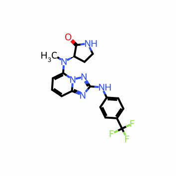 CN(c1cccc2nc(Nc3ccc(C(F)(F)F)cc3)nn12)[C@@H]1CCNC1=O